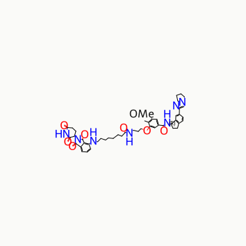 COc1cc(C(=O)N[C@@H]2CCc3ccc(-c4cn5c(n4)CCC5)cc32)cc(OCCCNC(=O)CCCCCCCNc2cccc3c2C(=O)N(C2CCC(=O)NC2=O)C3=O)c1C